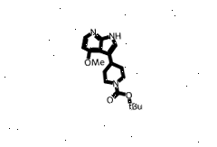 COc1ccnc2[nH]cc(C3CCN(C(=O)OC(C)(C)C)CC3)c12